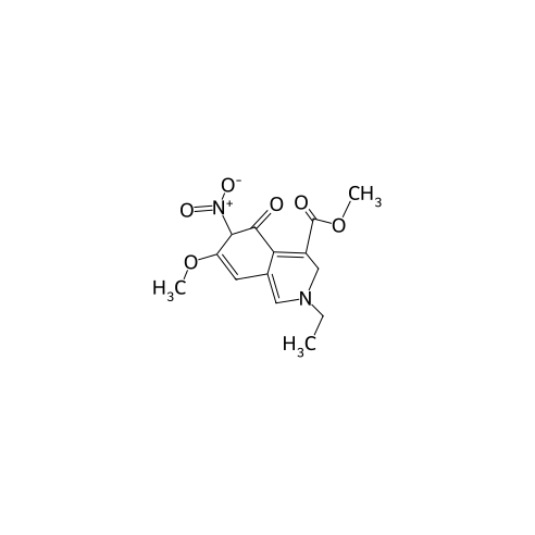 CCN1C=C2C=C(OC)C([N+](=O)[O-])C(=O)C2=C(C(=O)OC)C1